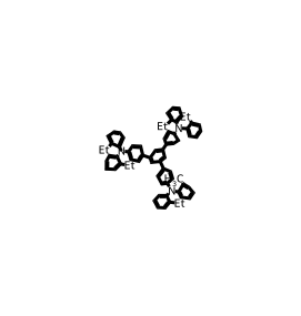 CCc1ccccc1N(c1ccc(-c2cc(C3=CCC(N(c4ccccc4CC)c4ccccc4CC)C=C3)cc(-c3ccc(N(c4ccccc4CC)c4ccccc4CC)cc3)c2)cc1)c1ccccc1C